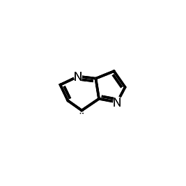 [C]1C=CN=C2C=CN=C12